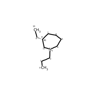 CCCN1CCCC[C@@H](CC)C1